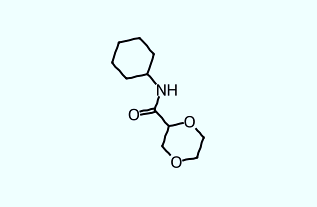 O=C(NC1CCCCC1)C1COCCO1